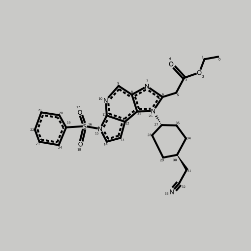 CCOC(=O)Cc1nc2cnc3c(ccn3S(=O)(=O)c3ccccc3)c2n1[C@H]1CC[C@H](CC#N)CC1